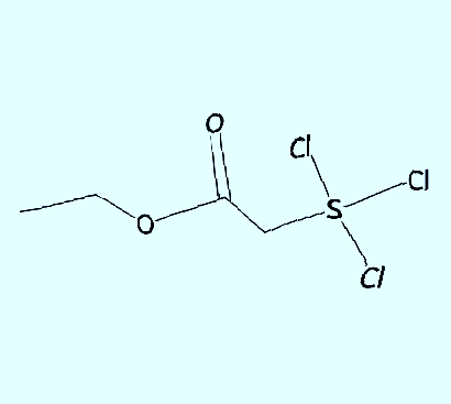 CCOC(=O)CS(Cl)(Cl)Cl